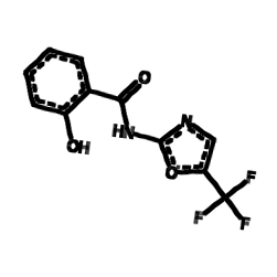 O=C(Nc1ncc(C(F)(F)F)o1)c1ccccc1O